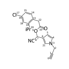 C#CCn1ccc(C(C#N)OC(=O)Cc2ccc(Cl)cc2C(C)C)c1